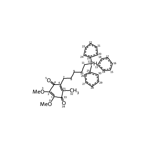 COC1=C(OC)C(=O)C(CCCCC[PH](c2ccccc2)(c2ccccc2)c2ccccc2)=C(C)C1=O